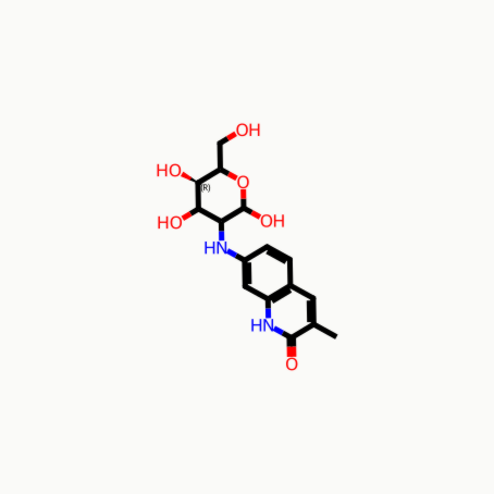 Cc1cc2ccc(NC3C(O)OC(CO)[C@H](O)C3O)cc2[nH]c1=O